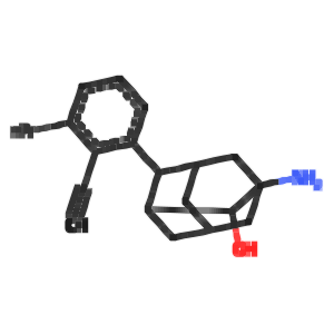 C#Cc1c(CCC)cccc1C1C2CC3CC1C(O)C(N)(C3)C2